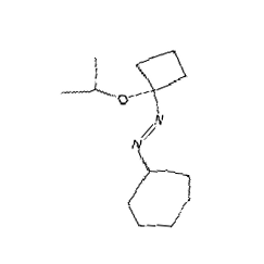 CC(C)OC1(/N=N/C2CCCCC2)CCC1